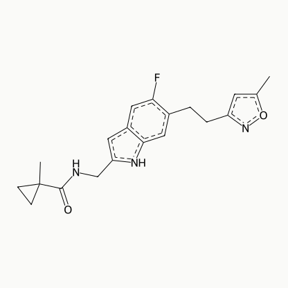 Cc1cc(CCc2cc3[nH]c(CNC(=O)C4(C)CC4)cc3cc2F)no1